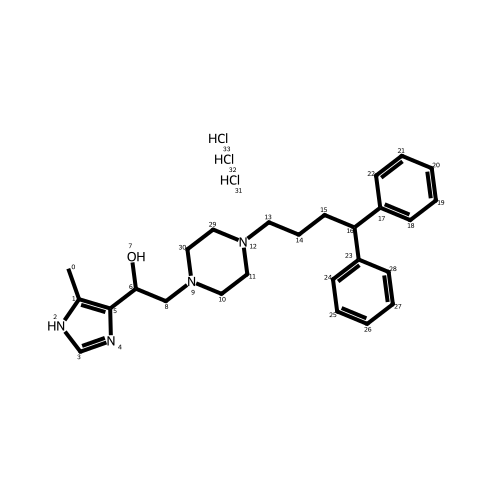 Cc1[nH]cnc1C(O)CN1CCN(CCCC(c2ccccc2)c2ccccc2)CC1.Cl.Cl.Cl